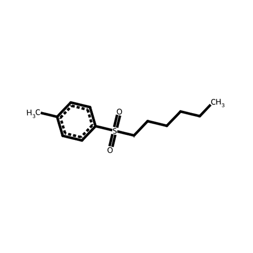 CCCCC[CH]S(=O)(=O)c1ccc(C)cc1